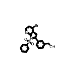 O=S(=O)(c1ccccc1)n1c(-c2cccc(CO)c2)cc2c(Br)ccnc21